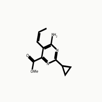 C/C=C\c1c(N)nc(C2CC2)nc1C(=O)OC